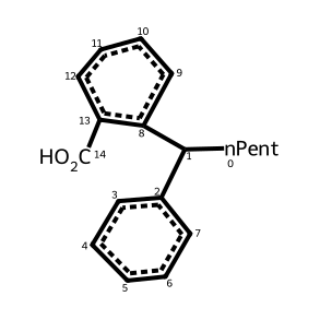 CCCCCC(c1ccccc1)c1ccccc1C(=O)O